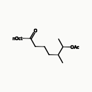 CCCCCCCCC(=O)CCCC(C)C(C)OC(C)=O